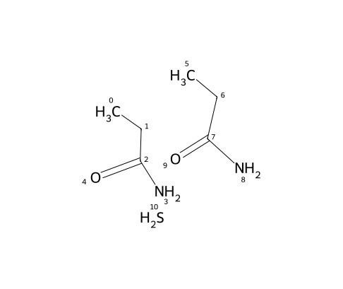 CCC(N)=O.CCC(N)=O.S